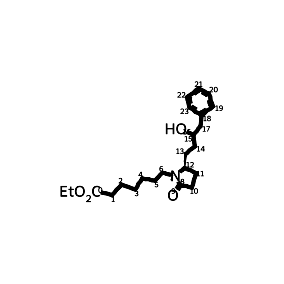 CCOC(=O)CCCCCCN1C(=O)CC[C@@H]1CCC(O)Cc1ccccc1